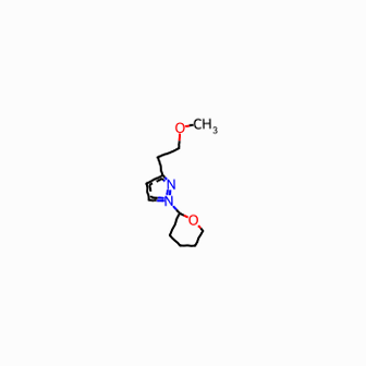 COCCc1ccn(C2CCCCO2)n1